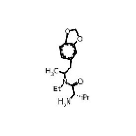 CCN(C(=O)[C@@H](N)C(C)C)C(C)Cc1ccc2c(c1)OCO2